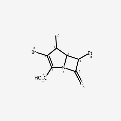 CCC1C(=O)N2C(C(=O)O)=C(Br)C(C)C12